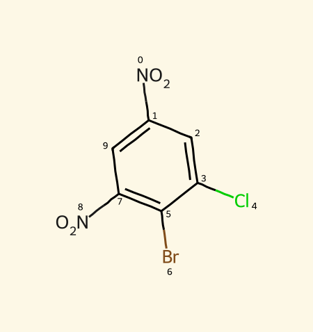 O=[N+]([O-])c1cc(Cl)c(Br)c([N+](=O)[O-])c1